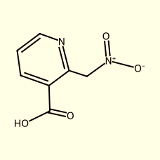 O=C(O)c1cccnc1C[N+](=O)[O-]